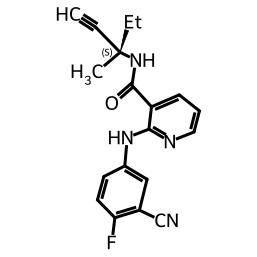 C#C[C@](C)(CC)NC(=O)c1cccnc1Nc1ccc(F)c(C#N)c1